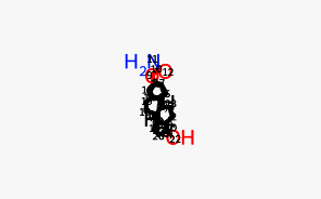 C[C@]12CC[C@@H]3c4ccc(OC(N)=O)cc4CC[C@H]3[C@@H]1CC[C@@H]2O